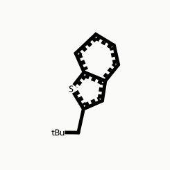 CC(C)(C)Cc1cc2ccccc2s1